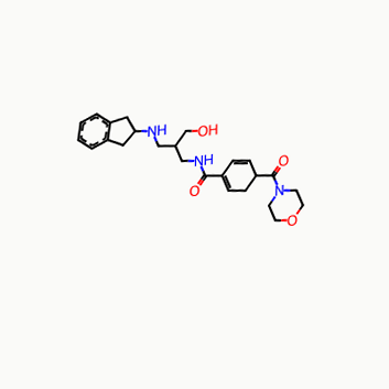 O=C(NCC(CO)CNC1Cc2ccccc2C1)C1=CCC(C(=O)N2CCOCC2)C=C1